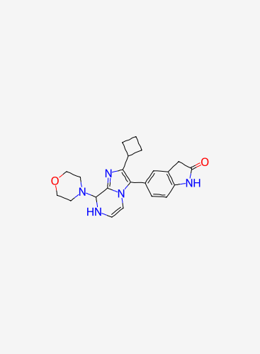 O=C1Cc2cc(-c3c(C4CCC4)nc4n3C=CNC4N3CCOCC3)ccc2N1